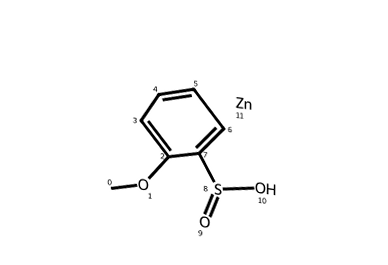 COc1ccccc1S(=O)O.[Zn]